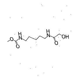 COC(=O)NCCCCCNC(=O)CO